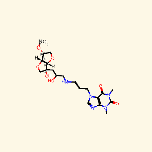 Cn1c(=O)c2c(ncn2CCCNCC(O)C[C@]2(O)CO[C@@H]3[C@H](O[N+](=O)[O-])CO[C@@H]32)n(C)c1=O